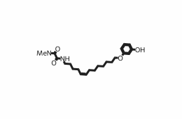 CNC(=O)C(=O)NCCCC/C=C\CCCCCCCOc1cccc(O)c1